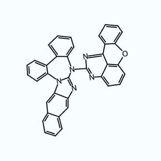 c1ccc2c(c1)Oc1cccc3nc(N4c5ccccc5-c5ccccc5-n5c4nc4cc6ccccc6cc45)nc-2c13